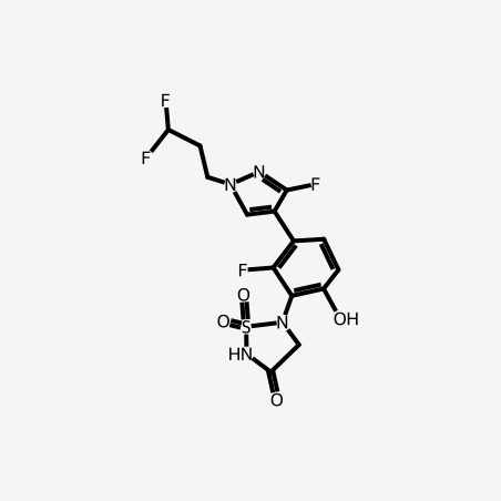 O=C1CN(c2c(O)ccc(-c3cn(CCC(F)F)nc3F)c2F)S(=O)(=O)N1